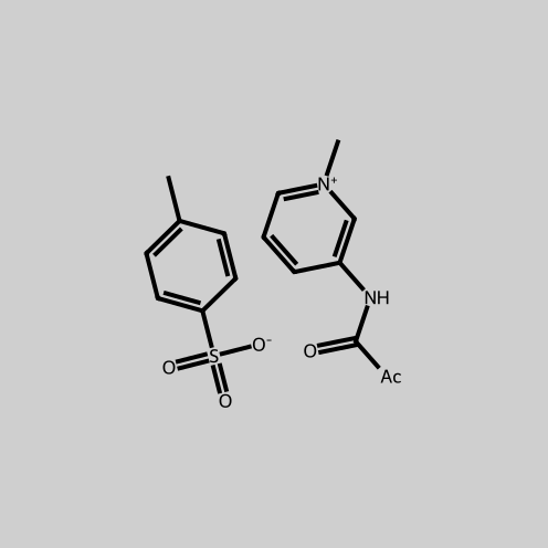 CC(=O)C(=O)Nc1ccc[n+](C)c1.Cc1ccc(S(=O)(=O)[O-])cc1